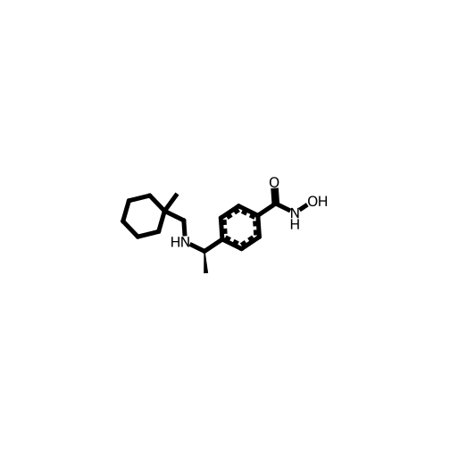 C[C@@H](NCC1(C)CCCCC1)c1ccc(C(=O)NO)cc1